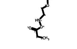 CCC(=O)ONCCOC